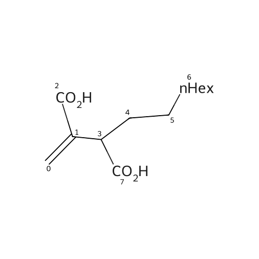 C=C(C(=O)O)C(CCCCCCCC)C(=O)O